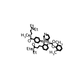 CCN(CC)CCN(C)C(=O)c1ccc(Nc2c(CCC(=O)N(CC)CC)cccc2N(C(=O)Oc2c(C)cccc2C)c2ccncn2)cc1